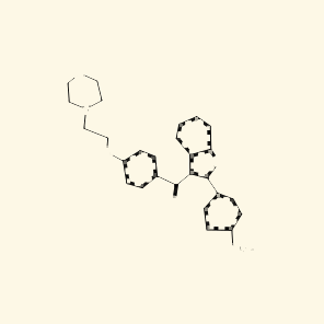 COc1ccc(-c2sc3ccccc3c2C(=O)c2ccc(OCCN3CCOCC3)cc2)cc1